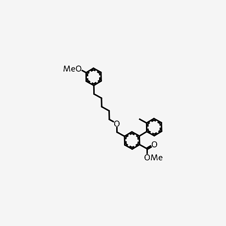 COC(=O)c1ccc(COCCCCCc2cccc(OC)c2)cc1-c1ccccc1C